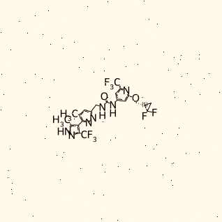 Cc1cc(CNC(=O)Nc2cc(OC[C@@H]3CC3(F)F)nc(C(F)(F)F)c2)nnc1-c1c(C(F)(F)F)n[nH]c1C